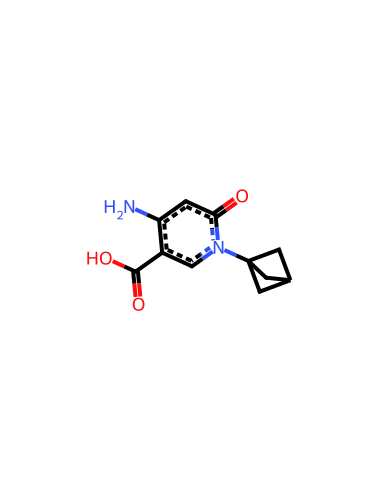 Nc1cc(=O)n(C23CC(C2)C3)cc1C(=O)O